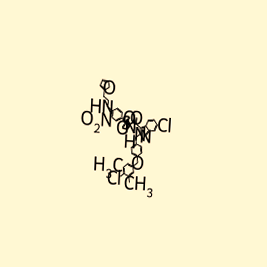 Cc1cc(Oc2ccc(Cn3nc4cc(Cl)ccc4c3C(=O)NS(=O)(=O)c3ccc(NCCc4ccco4)c([N+](=O)[O-])c3)cc2)cc(C)c1Cl